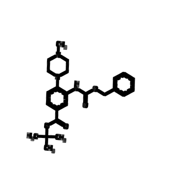 CN1CCN(c2ccc(C(=O)OC(C)(C)C)cc2NC(=O)OCc2ccccc2)CC1